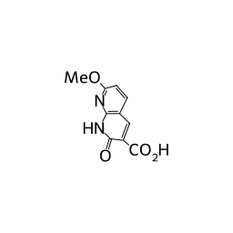 COc1ccc2cc(C(=O)O)c(=O)[nH]c2n1